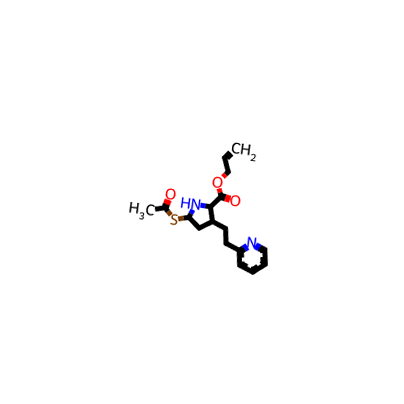 C=CCOC(=O)C1NC(SC(C)=O)CC1CCc1ccccn1